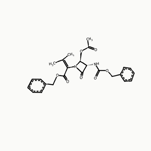 CC(=O)O[C@H]1[C@H](NC(=O)OCc2ccccc2)C(=O)N1C(C(=O)OCc1ccccc1)=C(C)C